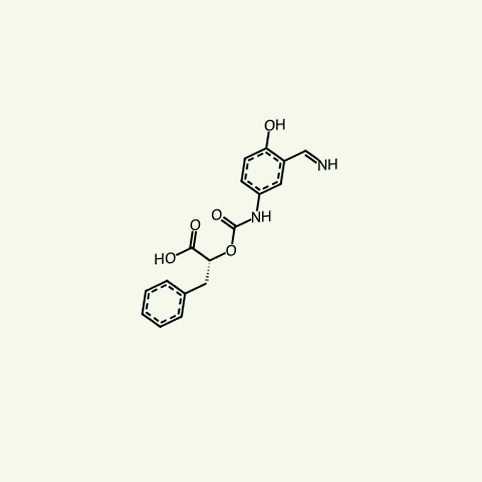 N=Cc1cc(NC(=O)O[C@H](Cc2ccccc2)C(=O)O)ccc1O